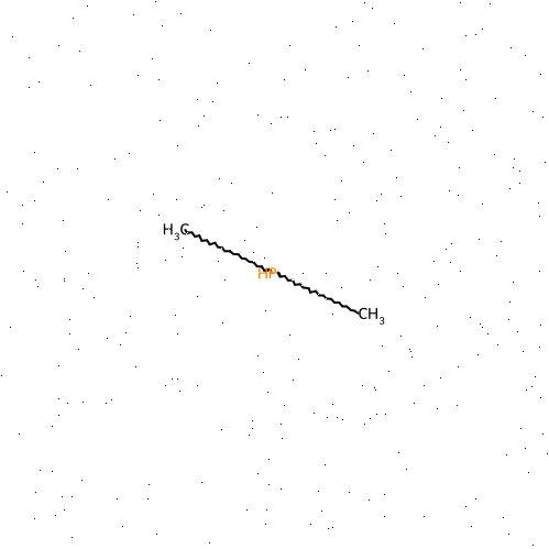 CCCCCCCCCCCCCCCCCCCCCC=CPC=CCCCCCCCCCCCCCCCCCCCCC